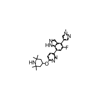 Cn1cc(-c2c(F)cc(-c3ccc(OC4CC(C)(C)NC(C)(C)C4)nn3)c3[nH]ncc23)cn1